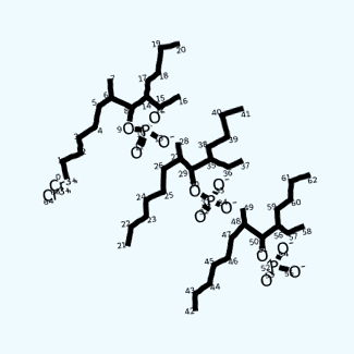 CCCCCCC(C)C(OP(=O)([O-])[O-])C(CC)CCCC.CCCCCCC(C)C(OP(=O)([O-])[O-])C(CC)CCCC.CCCCCCC(C)C(OP(=O)([O-])[O-])C(CC)CCCC.[Cr+3].[Cr+3]